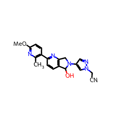 COc1ccc(-c2ccc3c(n2)CN(c2cnn(CC#N)c2)C3O)c(C)n1